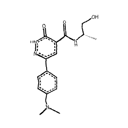 C[C@@H](CO)NC(=O)c1cc(-c2ccc(N(C)C)cc2)n[nH]c1=O